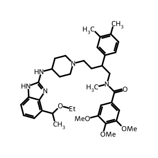 CCOC(C)c1cccc2[nH]c(NC3CCN(CCC(CN(C)C(=O)c4cc(OC)c(OC)c(OC)c4)c4ccc(C)c(C)c4)CC3)nc12